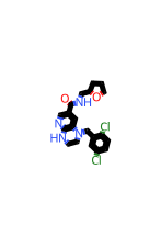 O=C(NCC1CCCO1)c1cnc2c(c1)N(Cc1cc(Cl)ccc1Cl)CCN2